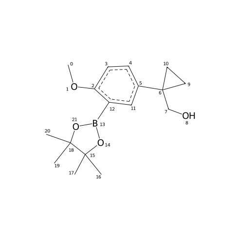 COc1ccc(C2(CO)CC2)cc1B1OC(C)(C)C(C)(C)O1